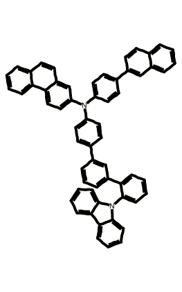 c1cc(-c2ccc(N(c3ccc(-c4ccc5ccccc5c4)cc3)c3ccc4c(ccc5ccccc54)c3)cc2)cc(-c2ccccc2-n2c3ccccc3c3ccccc32)c1